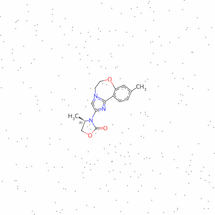 Cc1ccc2c(c1)OCCn1cc(N3C(=O)OC[C@H]3C)nc1-2